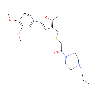 CCCN1CCN(C(=O)CSCc2cc(-c3ccc(OC)c(OC)c3)oc2C)CC1